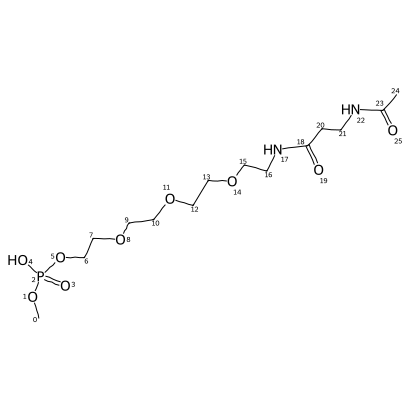 COP(=O)(O)OCCOCCOCCOCCNC(=O)CCNC(C)=O